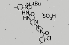 CS(=O)(=O)O.Cc1ccc(-n2nc(C(C)(C)C)cc2NC(=O)Nc2ccc(N3CCN(C(=O)c4ccccc4Cl)CC3)nc2C)cc1